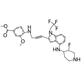 COC(=O)c1ccc(NCC#Cc2cc3c(NC4CCNCC4F)cccc3n2CC(F)(F)F)c(OC)c1